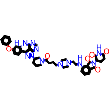 Nc1ncnc2c1c(-c1ccc(Oc3ccccc3)cc1)nn2C1CCCN(C(=O)CCCN2CCN(CCNc3cccc4c3C(=O)N(C3CCC(=O)NC3=O)C4=O)CC2)C1